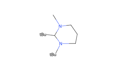 CN1CCCN(C(C)(C)C)C1C(C)(C)C